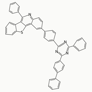 c1ccc(-c2ccc(-c3nc(-c4ccccc4)nc(-c4ccc(-c5ccc6nc(-c7ccccc7)c7c8ccccc8sc7c6c5)cc4)n3)cc2)cc1